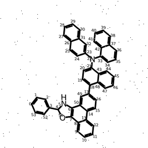 c1ccc(C2Nc3c(c4ccccc4c4ccc(-c5ccc(N(c6ccc7ccccc7c6)c6cccc7ccccc67)c6ccccc56)cc34)O2)cc1